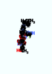 Cc1nc2[nH]cc(F)c2cc1Oc1cc(N2CCC3(CC2)CN([C@@H]2CCC[C@@H]2c2ccccc2C(C)C)C3)ccc1C(=O)NS(=O)(=O)c1cc2c(c([N+](=O)[O-])c1)N[C@@H]([C@H]1CC[C@](C)(O)CC1)CO2